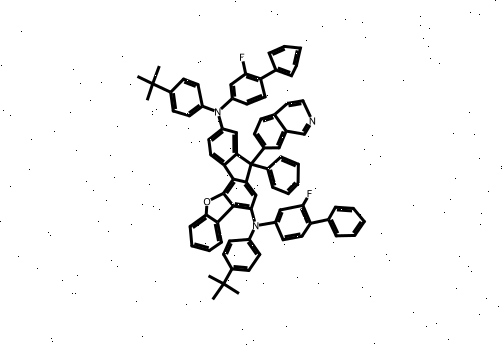 CC(C)(C)c1ccc(N(c2ccc(-c3ccccc3)c(F)c2)c2ccc3c(c2)C(c2ccccc2)(c2ccc4ccncc4c2)c2cc(N(c4ccc(C(C)(C)C)cc4)c4ccc(-c5ccccc5)c(F)c4)c4c(oc5ccccc54)c2-3)cc1